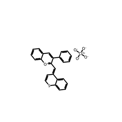 C1=CC(=Cc2[o+]c3ccccc3cc2-c2ccccc2)c2ccccc2S1.[O-][Cl+3]([O-])([O-])[O-]